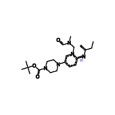 C=C(CC)/N=c1/ccc(N2CCN(C(=O)OC(C)(C)C)CC2)cn1CN(C)C=O